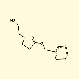 OCCC1CCC(OCc2ccccc2)=N1